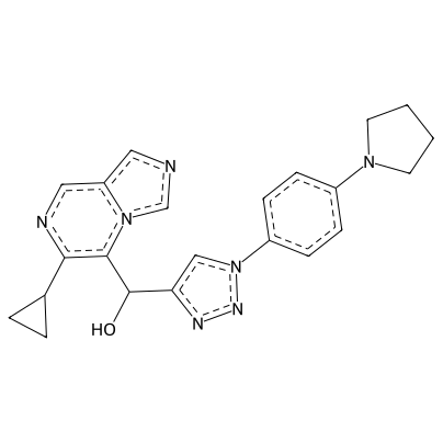 OC(c1cn(-c2ccc(N3CCCC3)cc2)nn1)c1c(C2CC2)ncc2cncn12